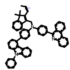 C/C=C\C1=C(CN(c2ccc(-c3nc4ccccc4c4ccccc34)cc2)c2ccc(-c3cccc4c3c3ccccc3n4-c3ccccc3)cc2)c2ccccc2C1(C)C